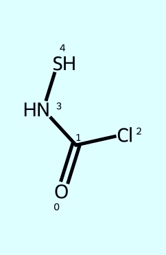 O=C(Cl)NS